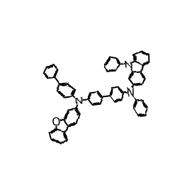 c1ccc(-c2ccc(N(c3ccc(-c4ccc(N(c5ccccc5)c5ccc6c7ccccc7n(-c7ccccc7)c6c5)cc4)cc3)c3ccc4c(c3)oc3ccccc34)cc2)cc1